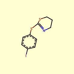 Ic1ccc(SC2=NCCCS2)cc1